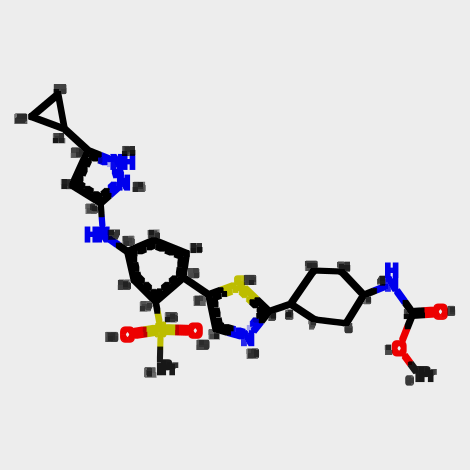 CC(C)OC(=O)NC1CCC(c2ncc(-c3ccc(Nc4cc(C5CC5)[nH]n4)cc3S(=O)(=O)C(C)C)s2)CC1